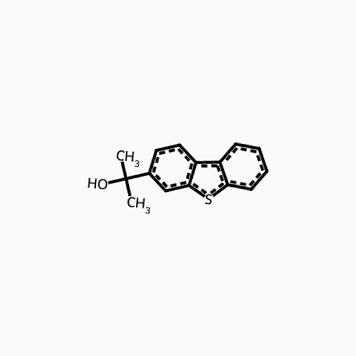 CC(C)(O)c1ccc2c(c1)sc1ccccc12